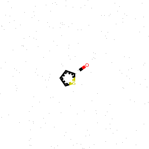 [CH]=O.[c]1cccs1